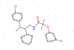 CC(c1ccc(Cl)cc1)C(CNC(=O)C(C)(C)Oc1cccc(Cl)c1)c1ccccc1